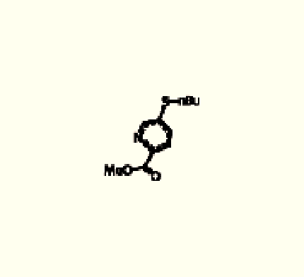 CCCCSc1ccc(C(=O)OC)nc1